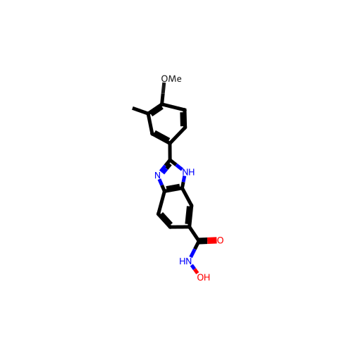 COc1ccc(-c2nc3ccc(C(=O)NO)cc3[nH]2)cc1C